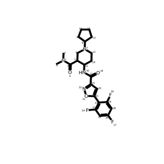 CN(C)C(=O)C1CN(C2CCCC2)CCC1NC(=O)c1cc(-c2c(F)cc(F)cc2F)on1